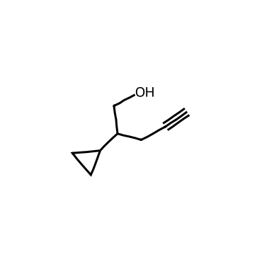 C#CCC(CO)C1CC1